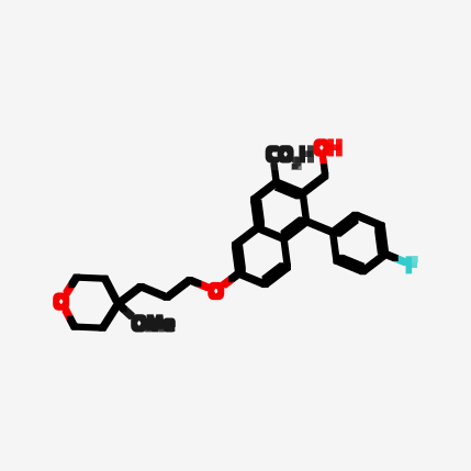 COC1(CCCOc2ccc3c(-c4ccc(F)cc4)c(CO)c(C(=O)O)cc3c2)CCOCC1